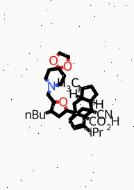 CCCCC1CC(C23C[C@@H]4[C@H](C)CC[C@H]4C4(C#N)CC2C=C(C(C)C)C34C(=O)O)OC1CN1CCC2(CC1)OCCO2